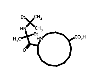 CCC(C)(C)NC(C)(CC)C(=O)C1CCCCCCCC(C(=O)O)CCCN1